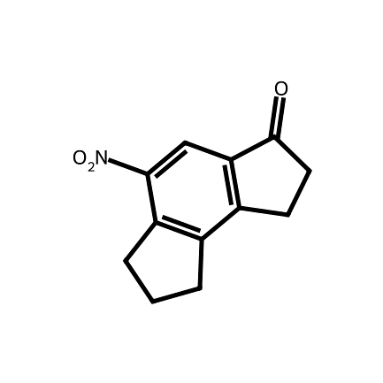 O=C1CCc2c1cc([N+](=O)[O-])c1c2CCC1